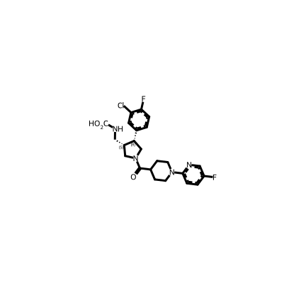 O=C(O)NC[C@H]1CN(C(=O)C2CCN(c3ccc(F)cn3)CC2)C[C@H]1c1ccc(F)c(Cl)c1